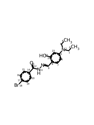 CCN(CC)c1ccc(/C=N/NC(=O)c2ccc(Br)cc2)c(O)c1